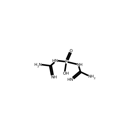 N=C(N)NP(=O)(O)NC(=N)N